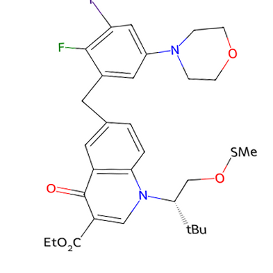 CCOC(=O)c1cn([C@H](COSC)C(C)(C)C)c2ccc(Cc3cc(N4CCOCC4)cc(I)c3F)cc2c1=O